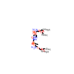 C=CCCP(=O)(OCCNC(=O)NCCOP(=O)(OCC=C)OC[C@H](N)COCC[C@@H](CCCCCCC)OC(=O)CCCCCCCCCCC)OC[C@H](N)COCC[C@@H](CCCCCCC)OC(=O)CCCCCCCCCCC